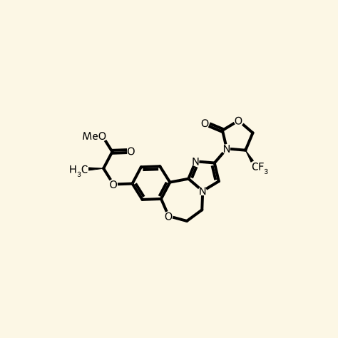 COC(=O)[C@H](C)Oc1ccc2c(c1)OCCn1cc(N3C(=O)OC[C@H]3C(F)(F)F)nc1-2